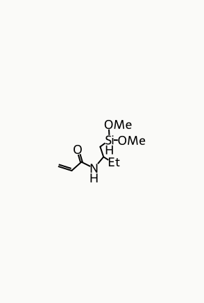 C=CC(=O)NC(CC)C[SiH](OC)OC